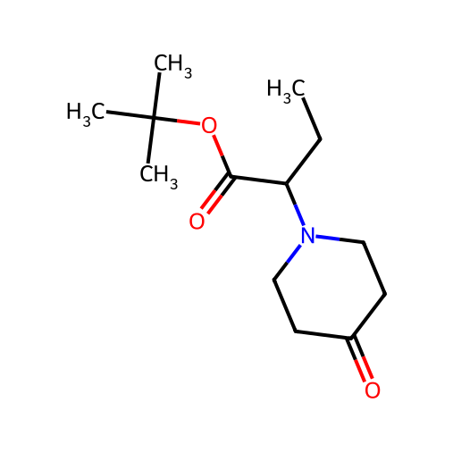 CCC(C(=O)OC(C)(C)C)N1CCC(=O)CC1